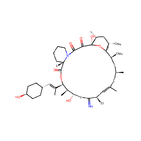 CC[C@@H]1/C=C(\C)C[C@H](C)C[C@H](OC)[C@H]2O[C@@](O)(C(=O)C(=O)N3CCCC[C@H]3C(=O)O[C@H](/C(C)=C/[C@H]3CC[C@H](O)CC3)[C@H](C)[C@@H](O)CC1=N)[C@H](C)C[C@@H]2OC